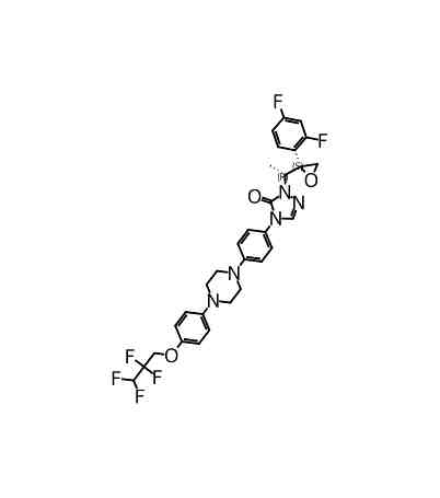 C[C@@H](n1ncn(-c2ccc(N3CCN(c4ccc(OCC(F)(F)C(F)F)cc4)CC3)cc2)c1=O)[C@@]1(c2ccc(F)cc2F)CO1